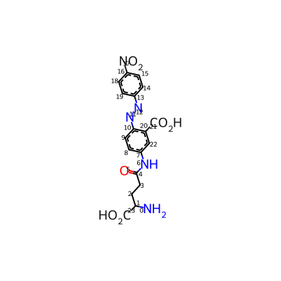 NC(CCC(=O)Nc1ccc(N=Nc2ccc([N+](=O)[O-])cc2)c(C(=O)O)c1)C(=O)O